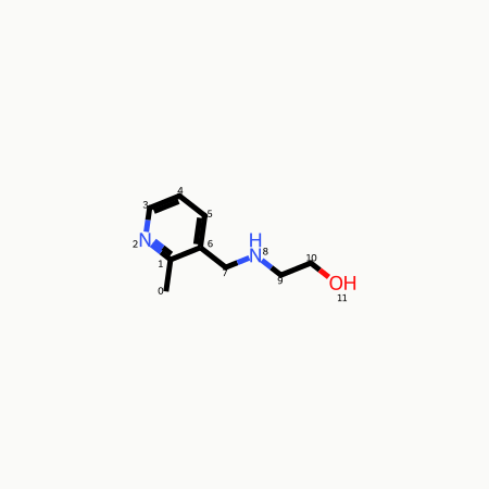 Cc1ncccc1CNCCO